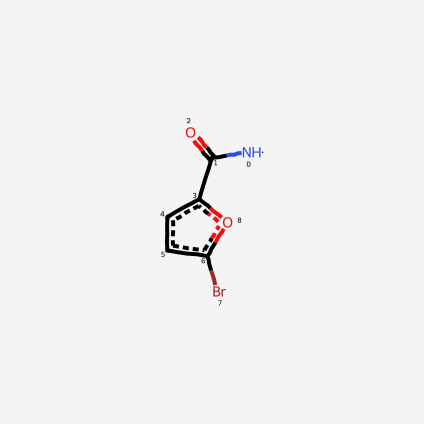 [NH]C(=O)c1ccc(Br)o1